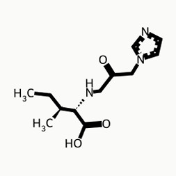 CC[C@H](C)[C@H](NCC(=O)Cn1ccnc1)C(=O)O